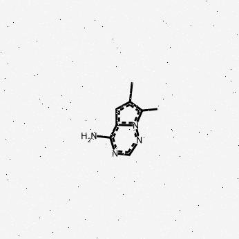 Cc1cc2c(N)ncnn2c1C